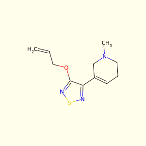 C=CCOc1nsnc1C1=CCCN(C)C1